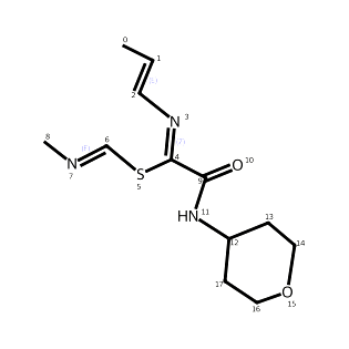 C/C=C/N=C(\S/C=N/C)C(=O)NC1CCOCC1